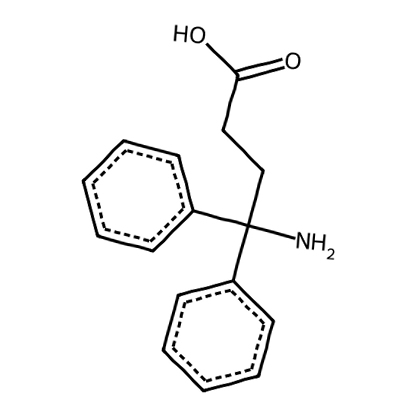 NC(CCC(=O)O)(c1ccccc1)c1ccccc1